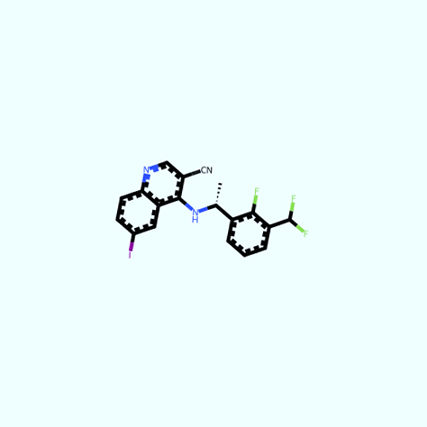 C[C@@H](Nc1c(C#N)cnc2ccc(I)cc12)c1cccc(C(F)F)c1F